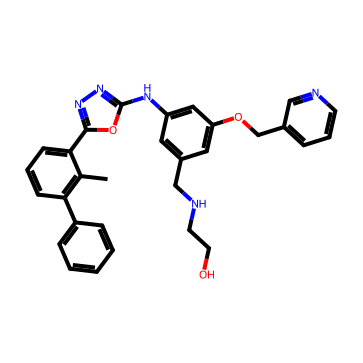 Cc1c(-c2ccccc2)cccc1-c1nnc(Nc2cc(CNCCO)cc(OCc3cccnc3)c2)o1